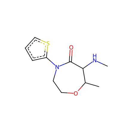 CNC1C(=O)N(c2cccs2)CCOC1C